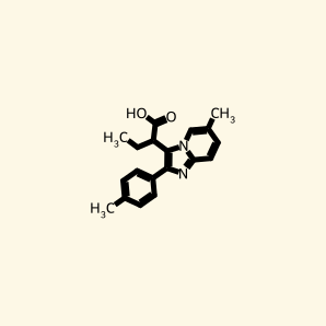 CCC(C(=O)O)c1c(-c2ccc(C)cc2)nc2ccc(C)cn12